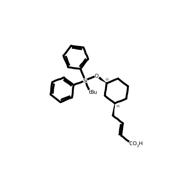 CC(C)(C)[Si](O[C@H]1CCC[C@@H](CC=CC(=O)O)C1)(c1ccccc1)c1ccccc1